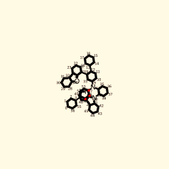 c1ccc(-c2ccc(N(c3ccc(-c4ccccc4)c(-c4cccc5c4oc4ccccc45)c3)c3ccccc3-n3c4ccccc4c4cccnc43)cc2)cc1